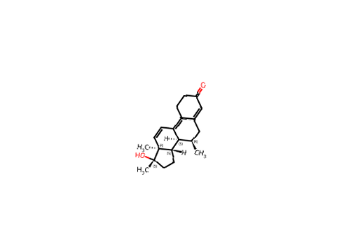 C[C@@H]1CC2=CC(=O)CCC2=C2C=C[C@@]3(C)[C@@H](CC[C@]3(C)O)[C@@H]21